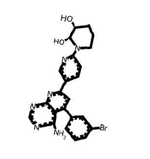 Nc1ncnc2nc(-c3ccc(N4CCC[C@H](O)[C@@H]4O)nc3)cc(-c3cccc(Br)c3)c12